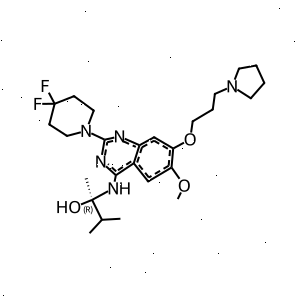 COc1cc2c(N[C@](C)(O)C(C)C)nc(N3CCC(F)(F)CC3)nc2cc1OCCCN1CCCC1